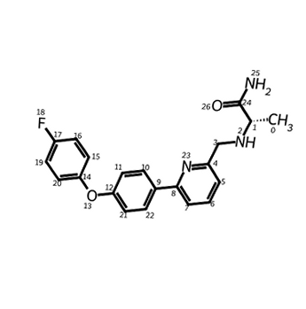 C[C@H](NCc1cccc(-c2ccc(Oc3ccc(F)cc3)cc2)n1)C(N)=O